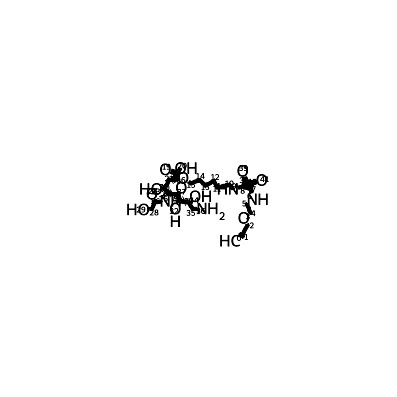 C#CCOCCNc1c(NCCCCCCO[C@]2(C(=O)O)C[C@H](O)[C@@H](NC(=O)CO)[C@H]([C@H](O)[C@H](O)CN)O2)c(=O)c1=O